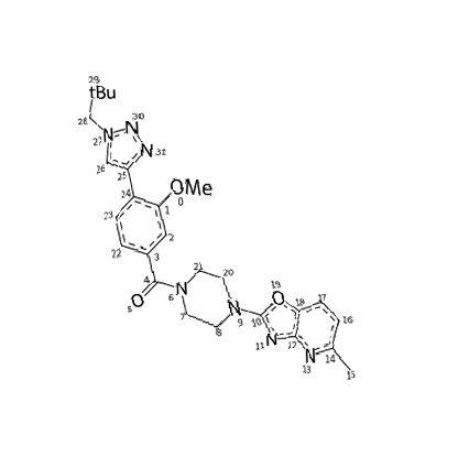 COc1cc(C(=O)N2CCN(c3nc4nc(C)ccc4o3)CC2)ccc1-c1cn(CC(C)(C)C)nn1